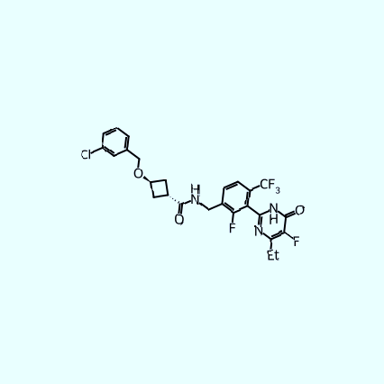 CCc1nc(-c2c(C(F)(F)F)ccc(CNC(=O)[C@H]3C[C@H](OCc4cccc(Cl)c4)C3)c2F)[nH]c(=O)c1F